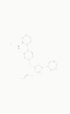 CC=CCn1nc(-c2ccccc2)nc1Cc1ccc(-c2ccccc2C(=O)O)cc1